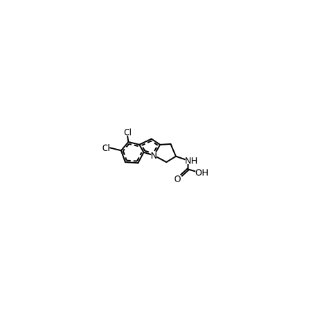 O=C(O)NC1Cc2cc3c(Cl)c(Cl)ccc3n2C1